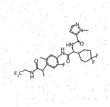 Cc1cc(NC(=O)[C@@H](NC(=O)c2ccnn2C)C2CCC(F)(F)CC2)c(F)cc1C(C)C(=O)NCC(F)(F)F